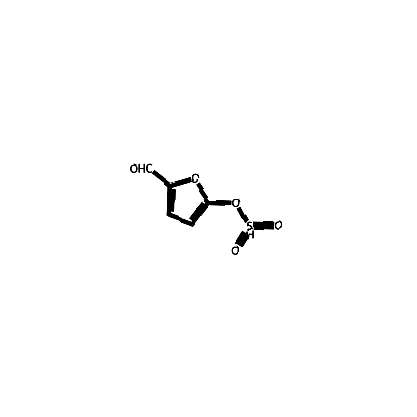 O=Cc1ccc(O[SH](=O)=O)o1